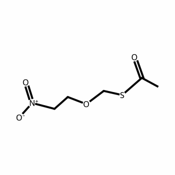 CC(=O)SCOCC[N+](=O)[O-]